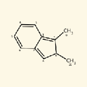 CC1=c2ccccc2=CC1C